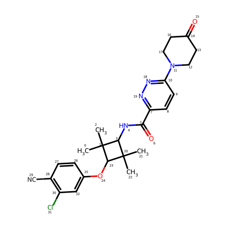 CC1(C)C(NC(=O)c2ccc(N3CCC(=O)CC3)nn2)C(C)(C)C1Oc1ccc(C#N)c(Cl)c1